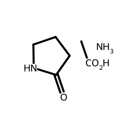 CC(=O)O.N.O=C1CCCN1